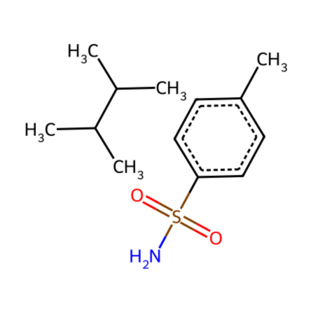 CC(C)C(C)C.Cc1ccc(S(N)(=O)=O)cc1